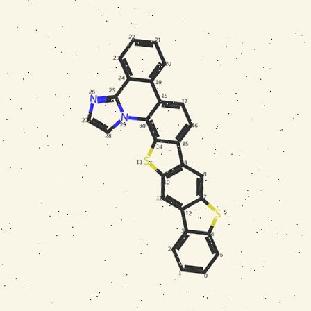 c1ccc2c(c1)sc1cc3c(cc12)sc1c3ccc2c3ccccc3c3nccn3c21